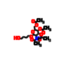 CC(=O)NC1C(OCCCCO)OC(COC(C)=O)C(OC(C)=O)C1OC(C)=O